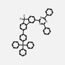 FC1(F)c2ccc(-c3ccc(C(c4ccccc4)(c4ccccc4)c4ccccc4)cc3)cc2-c2cc(-c3nc(-c4ccccc4)nc(-c4ccccc4)n3)ccc21